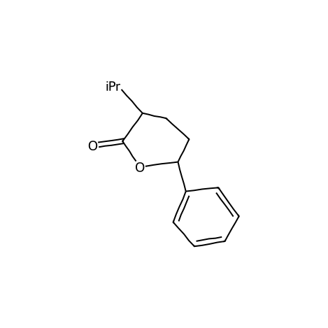 CC(C)C1CCC(c2ccccc2)OC1=O